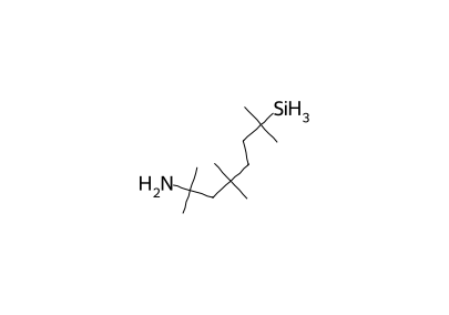 CC(C)(N)CC(C)(C)CCC(C)(C)[SiH3]